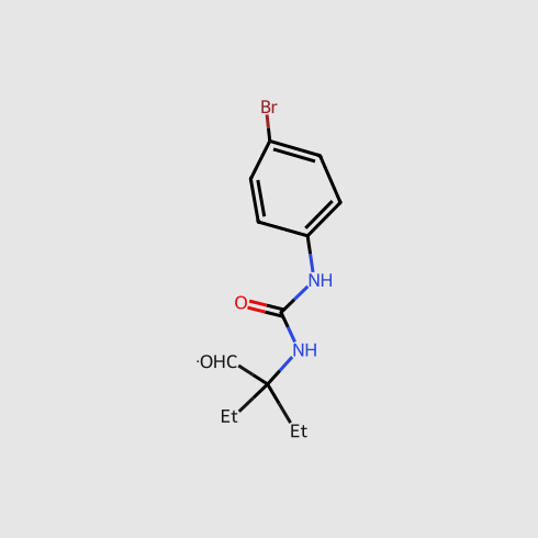 CCC([C]=O)(CC)NC(=O)Nc1ccc(Br)cc1